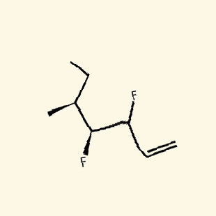 C=CC(F)[C@@H](F)[C@@H](C)CC